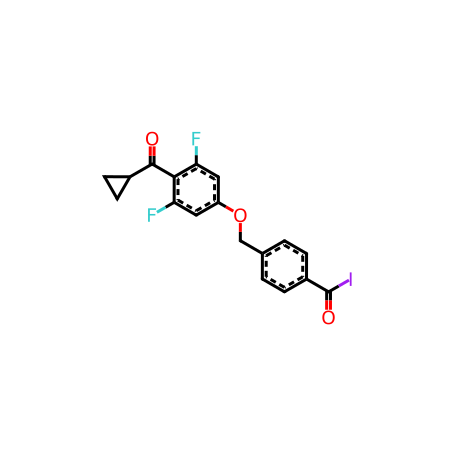 O=C(I)c1ccc(COc2cc(F)c(C(=O)C3CC3)c(F)c2)cc1